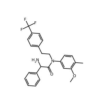 COc1cc(N(CCc2ccc(C(F)(F)F)cc2)C(=O)C(N)c2ccccc2)ccc1C